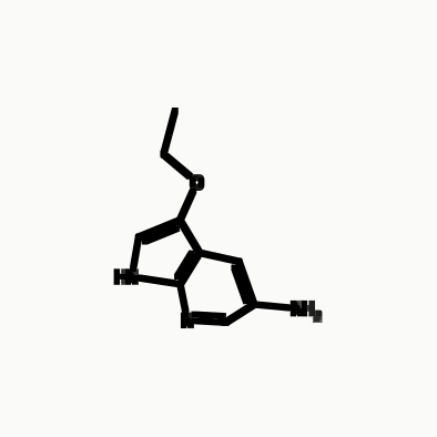 CCOc1c[nH]c2ncc(N)cc12